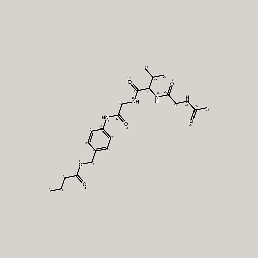 CCCC(=O)OCc1ccc(NC(=O)CNC(=O)C(NC(=O)CNC(C)=O)C(C)C)cc1